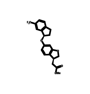 COC(=O)C[C@@H]1COc2cc(O[C@@H]3CCc4ccc(C(F)(F)F)cc43)ccc21